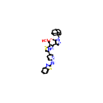 Cc1c(-c2nn3c(-c4ccc(Nc5nc6ccccc6s5)nc4)csc3c2C(=O)O)cnn1CC12CC3CC(CC(C3)C1)C2